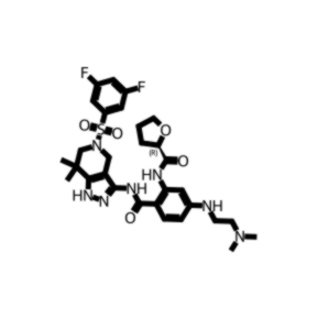 CN(C)CCNc1ccc(C(=O)Nc2n[nH]c3c2CN(S(=O)(=O)c2cc(F)cc(F)c2)CC3(C)C)c(NC(=O)[C@H]2CCCO2)c1